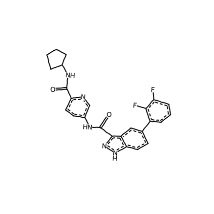 O=C(NC1CCCC1)c1ccc(NC(=O)c2n[nH]c3ccc(-c4cccc(F)c4F)cc23)cn1